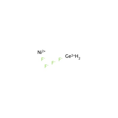 [F-].[F-].[F-].[F-].[GeH2+2].[Ni+2]